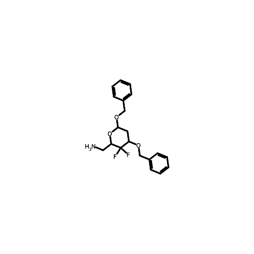 NCC1OC(OCc2ccccc2)CC(OCc2ccccc2)C1(F)F